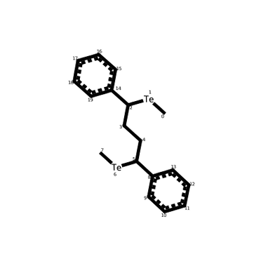 C[Te]C(CCC([Te]C)c1ccccc1)c1ccccc1